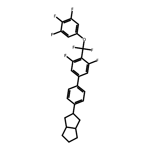 Fc1cc(OC(F)(F)c2c(F)cc(-c3ccc(C4CC5CCCC5C4)cc3)cc2F)cc(F)c1F